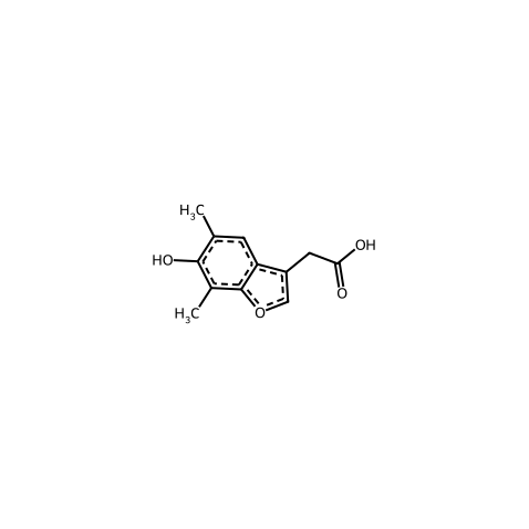 Cc1cc2c(CC(=O)O)coc2c(C)c1O